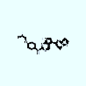 FC(F)COC1CCC(Nc2ncc3c(-c4ccn5nccc5n4)c[nH]c3n2)CC1